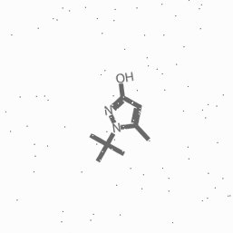 Cc1cc(O)nn1C(C)(C)C